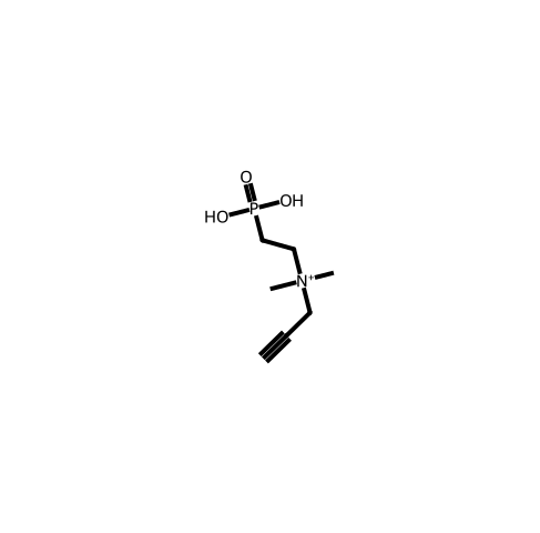 C#CC[N+](C)(C)CCP(=O)(O)O